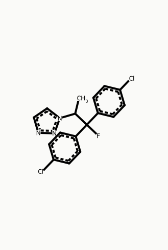 CC(n1ccnn1)C(F)(c1ccc(Cl)cc1)c1ccc(Cl)cc1